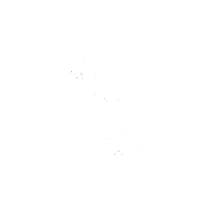 CC(Cc1ccnc(C(F)(F)F)c1)CN1CCC2(C1)CS(=O)(=O)C2